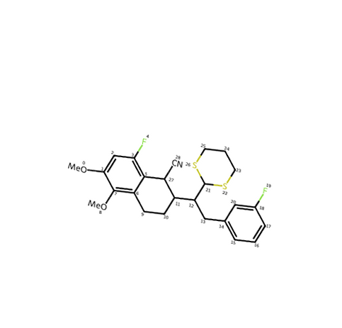 COc1cc(F)c2c(c1OC)CCC(C(Cc1cccc(F)c1)C1SCCCS1)C2C#N